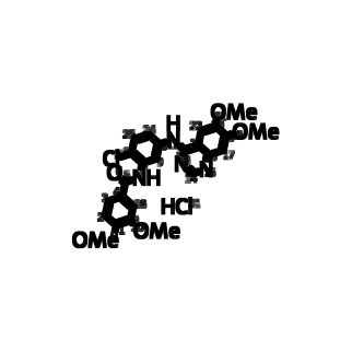 COc1ccc(C(=O)Nc2cc(Nc3ncnc4cc(OC)c(OC)cc34)ccc2Cl)cc1OC.Cl